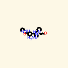 COC/C=C/CN1CCCCCC1c1nc(C2=CCC=C(C(=O)Nc3ccccn3)C=C2)c2c(N)nccn12